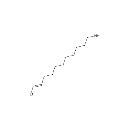 CCC=CCCCCCCCCC[NH]